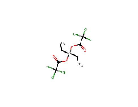 CC[Si](CC)(OC(=O)C(Cl)(Cl)Cl)OC(=O)C(Cl)(Cl)Cl